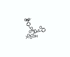 COc1ccccc1CS[C@H]1C[C@@H](C(O)CC(=O)OC(C)(C)C)N(C(=O)OCc2ccc([N+](=O)[O-])cc2)C1